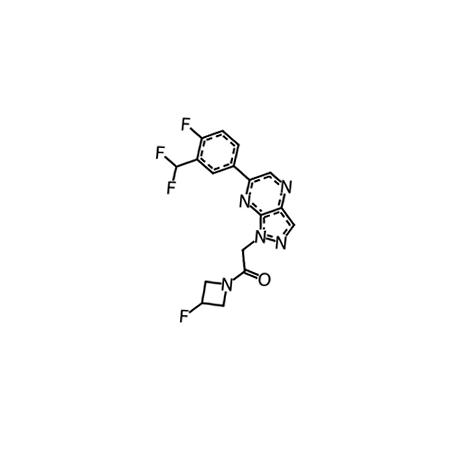 O=C(Cn1ncc2ncc(-c3ccc(F)c(C(F)F)c3)nc21)N1CC(F)C1